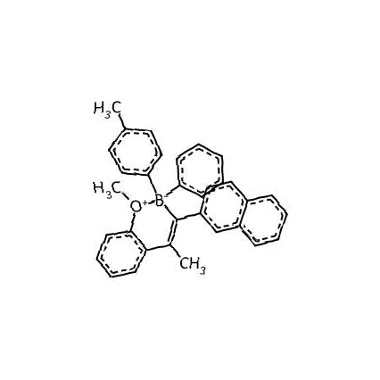 CC1=C(c2ccc3ccccc3c2)[B-](c2ccccc2)(c2ccc(C)cc2)[O+](C)c2ccccc21